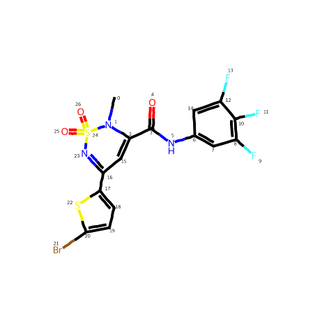 CN1C(C(=O)Nc2cc(F)c(F)c(F)c2)=CC(c2ccc(Br)s2)=NS1(=O)=O